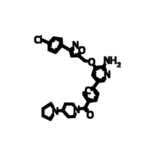 Nc1ncc(-c2ccc(C(=O)N3CCC(N4CCCC4)CC3)cc2)cc1OCc1cc(-c2ccc(Cl)cc2)no1